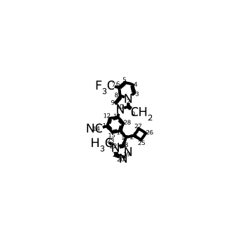 C=C1N2C=CC=C(C(F)(F)F)C2=CN1c1cc(C#N)cc(C(c2nncn2C)C2CCC2)c1